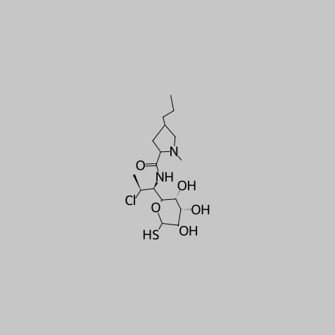 CCCC1CC(C(=O)N[C@@H]([C@H]2OC(S)[C@H](O)[C@@H](O)[C@H]2O)[C@H](C)Cl)N(C)C1